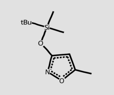 Cc1cc(O[Si](C)(C)C(C)(C)C)no1